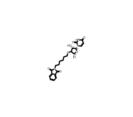 CC[C@H]1O[C@@H](n2ccc(=O)[nH]c2=O)[C@@H](O)C1OCCCCCCN1C(=O)c2ccccc2C1=O